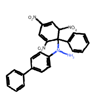 NN(c1ccc(-c2ccccc2)cc1)C1(c2ccccc2)C([N+](=O)[O-])=CC([N+](=O)[O-])=CC1[N+](=O)[O-]